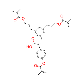 C=C(C)C(=O)OCCCc1cc2c(c(CCCOC(=O)C(=C)C)c1)OC(O)C(c1ccc(OC(=O)C(=C)C)cc1)=C2